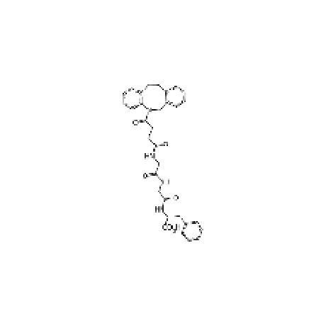 O=C(CCC(=O)N1Cc2ccccc2CCc2ccccc21)NCC(=O)NCC(=O)NC(Cc1ccccc1)C(=O)O